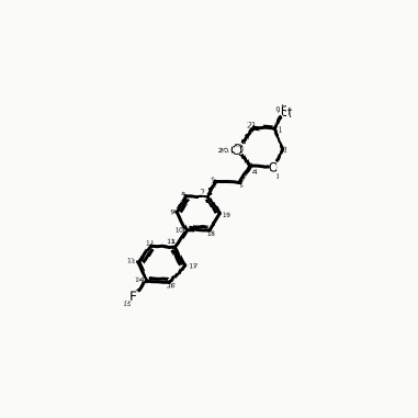 CCC1COC(CCc2ccc(-c3ccc(F)cc3)cc2)OC1